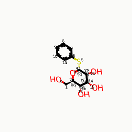 OC[C@H]1O[C@H](Sc2ccccc2)[C@@H](O)[C@@H](O)[C@@H]1O